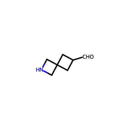 O=CC1CC2(CNC2)C1